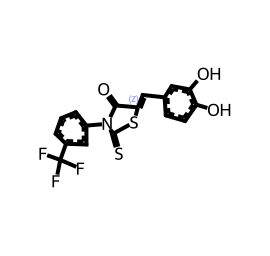 O=C1/C(=C/c2ccc(O)c(O)c2)SC(=S)N1c1cccc(C(F)(F)F)c1